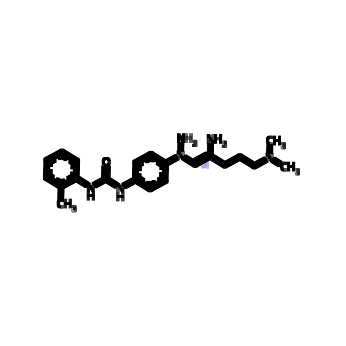 Cc1ccccc1NC(=O)Nc1ccc(N(N)/C=C(\N)CCCN(C)C)cc1